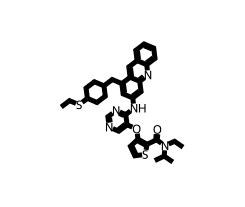 CCSC1CCC(Cc2cc(Nc3ncncc3Oc3ccsc3C(=O)N(CC)C(C)C)cc3nc4ccccc4cc23)CC1